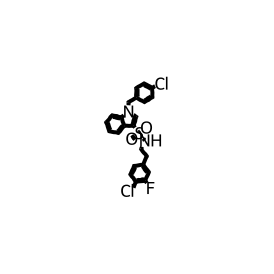 O=S(=O)(NCCc1ccc(Cl)c(F)c1)c1cn(Cc2ccc(Cl)cc2)c2ccccc12